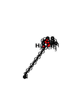 CC(=O)O[C@@]12COC1C[C@H](O)[C@@]1(C)C(=O)[C@H](OC(=O)CCOCCOCCOCCOCCOCCOCCOCCOCCSSc3ccccn3)C3=C(C)C(OC(=O)[C@H](O)C(NC(=O)c4ccccc4)c4ccccc4)C[C@@](O)([C@@H](OC(=O)c4ccccc4)[C@@H]12)C3(C)C